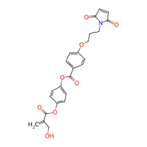 C=C(CO)C(=O)Oc1ccc(OC(=O)c2ccc(OCCCN3C(=O)C=CC3=O)cc2)cc1